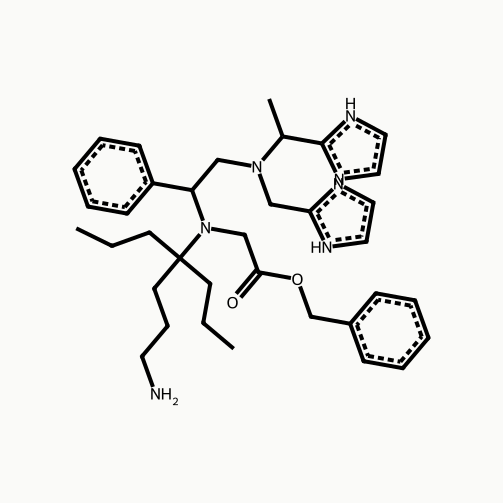 CCCC(CCC)(CCCN)N(CC(=O)OCc1ccccc1)C(CN(Cc1ncc[nH]1)C(C)c1ncc[nH]1)c1ccccc1